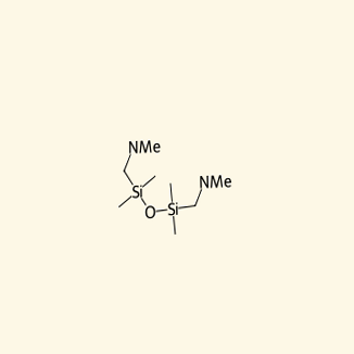 CNC[Si](C)(C)O[Si](C)(C)CNC